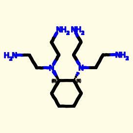 NCCN(CCN)[C@@H]1CCCC[C@H]1N(CCN)CCN